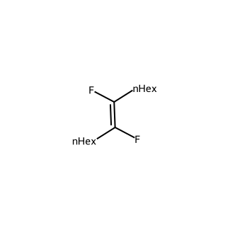 CCCCCC/C(F)=C(\F)CCCCCC